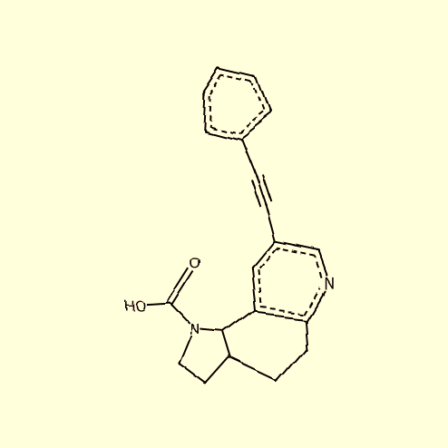 O=C(O)N1CCC2CCc3ncc(C#Cc4ccccc4)cc3C21